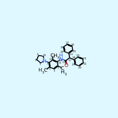 Cc1cc(C)c(N2CCCC2)c(C)c1NC(=O)C(c1ccccc1)c1ccccc1